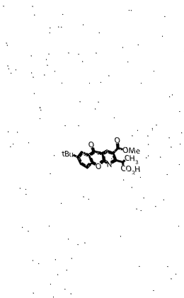 COC(=O)c1cc2c(=O)c3cc(C(C)(C)C)ccc3oc2nc1C(C)C(=O)O